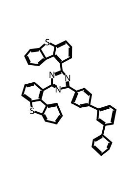 c1ccc(-c2cccc(-c3ccc(-c4nc(-c5cccc6sc7ccccc7c56)nc(-c5cccc6sc7ccccc7c56)n4)cc3)c2)cc1